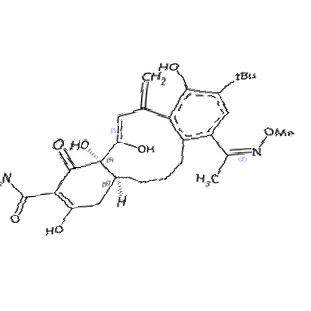 C=C1/C=C(\O)[C@]2(O)C(=O)C(C(N)=O)=C(O)C[C@@H]2CCCc2c(/C(C)=N\OC)cc(C(C)(C)C)c(O)c21